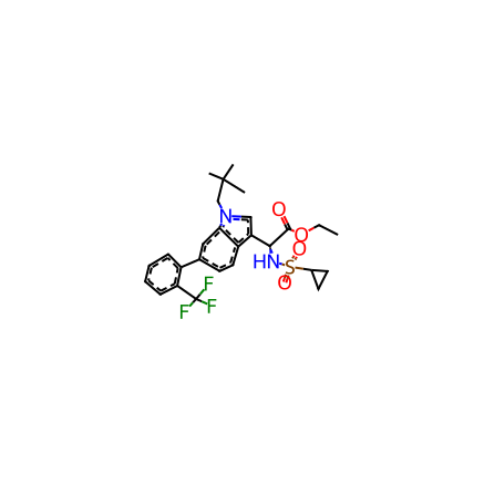 CCOC(=O)[C@@H](NS(=O)(=O)C1CC1)c1cn(CC(C)(C)C)c2cc(-c3ccccc3C(F)(F)F)ccc12